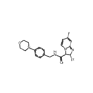 CCC1N=C2C=C(C)C=CN2C1C(=O)NCc1ccc(N2CCOCC2)cc1